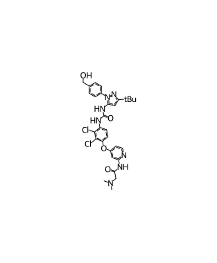 CN(C)CC(=O)Nc1cc(Oc2ccc(NC(=O)Nc3cc(C(C)(C)C)nn3-c3ccc(CO)cc3)c(Cl)c2Cl)ccn1